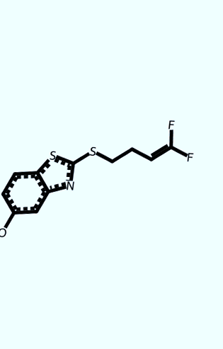 COc1ccc2sc(SCCC=C(F)F)nc2c1